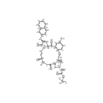 CN1CC(=O)N2C[C@@H](NC(=O)OC(C)(C)C)C[C@H]2COc2ccc(F)cc2C(=O)N(C)[C@@H](C(=O)NCc2ccc3ccccc3c2)CCC1=O